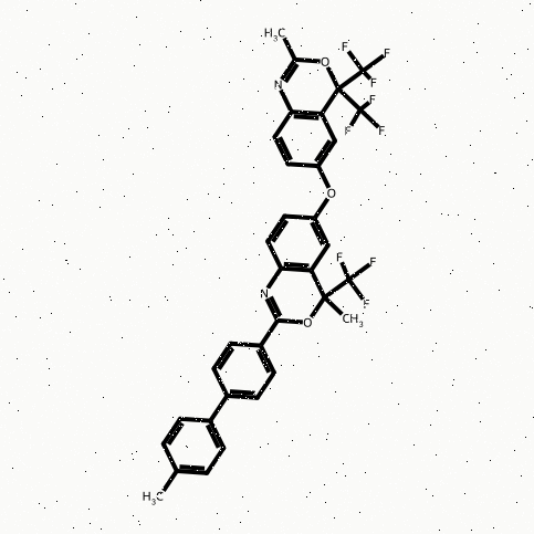 CC1=Nc2ccc(Oc3ccc4c(c3)C(C)(C(F)(F)F)OC(c3ccc(-c5ccc(C)cc5)cc3)=N4)cc2C(C(F)(F)F)(C(F)(F)F)O1